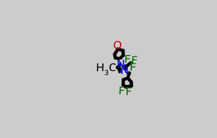 CC1=CN(CC2CCC(F)(F)CC2)C(C(F)(F)F)N1C1CCC(=O)CC1